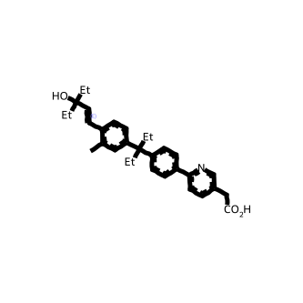 CCC(O)(/C=C/c1ccc(C(CC)(CC)c2ccc(-c3ccc(CC(=O)O)cn3)cc2)cc1C)CC